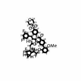 COc1cccc(OC)c1-c1ccc2c(=O)n(-c3ccc(S(=O)(=O)N4CCOCC4)cc3)c(C(Cc3cc(F)cc(F)c3)NC(=O)Cn3nc(C(F)F)c4c3C(F)(F)[C@@H]3C[C@H]43)nc2c1